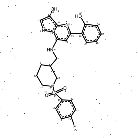 Bc1cnn2c(NCC3CCCN(S(=O)(=O)c4ccc(F)cc4)C3)cc(-c3ccccc3O)nc12